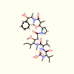 CCC(C)C(C(CC(=O)N1CCC[C@@H]1C(OC)C(C)C(=O)NC(C)C(O)c1ccccc1)OC)N(C)C(=O)C(NC(=O)C(C(C)C)N(C)C(=O)O)C(C)C